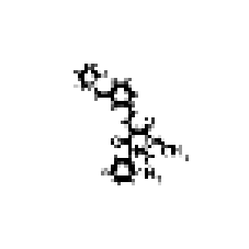 CCOC(=O)C(CCc1cccc(Cn2ccnc2)c1)C(=O)N(CC)c1ccccc1